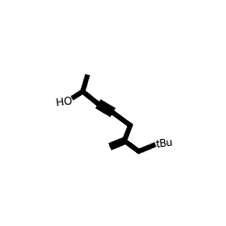 C=C(CC#CC(C)O)CC(C)(C)C